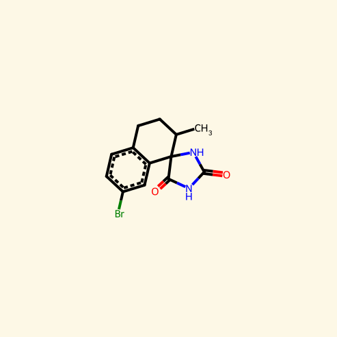 CC1CCc2ccc(Br)cc2C12NC(=O)NC2=O